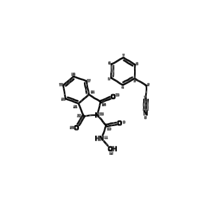 N#CCc1ccccc1.O=C(NO)N1C(=O)c2ccccc2C1=O